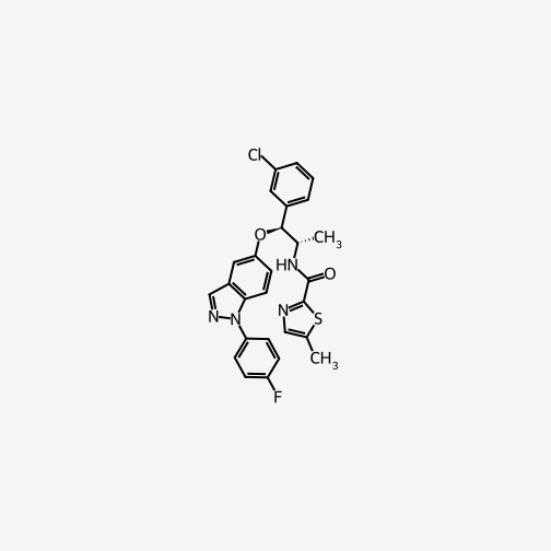 Cc1cnc(C(=O)N[C@@H](C)[C@@H](Oc2ccc3c(cnn3-c3ccc(F)cc3)c2)c2cccc(Cl)c2)s1